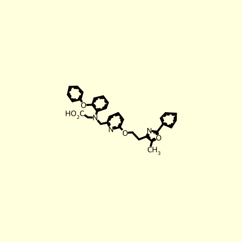 Cc1oc(-c2ccccc2)nc1CCOc1cccc(CN(CC(=O)O)c2ccccc2Oc2ccccc2)n1